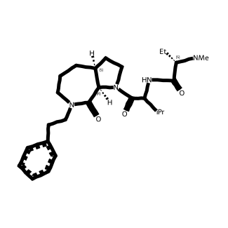 CC[C@H](NC)C(=O)NC(C(=O)N1CC[C@@H]2CCCN(CCc3ccccc3)C(=O)[C@@H]21)C(C)C